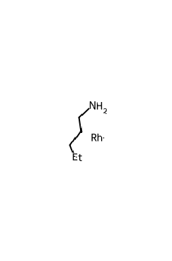 CCCCCN.[Rh]